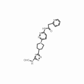 O=CNc1nnc(C2CCN(c3ccc(NC(=O)Cc4ccccn4)nn3)CC2)s1